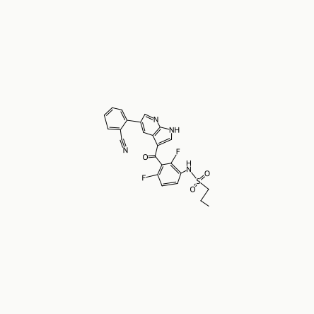 CCCS(=O)(=O)Nc1ccc(F)c(C(=O)c2c[nH]c3ncc(-c4ccccc4C#N)cc23)c1F